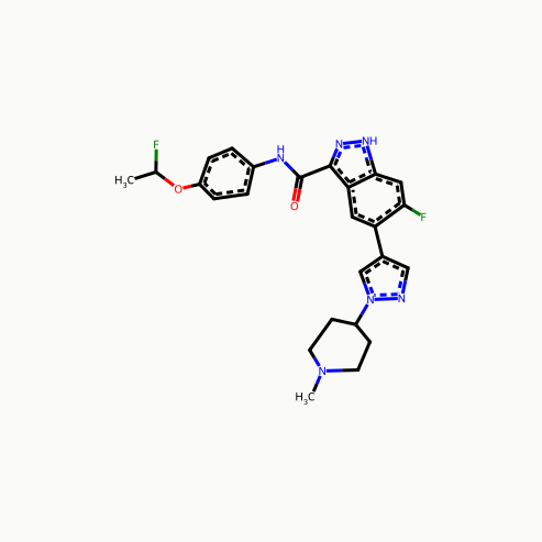 CC(F)Oc1ccc(NC(=O)c2n[nH]c3cc(F)c(-c4cnn(C5CCN(C)CC5)c4)cc23)cc1